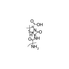 CCC(C)(N)C(=O)N[C@@H]1C(=O)N2[C@@H]1SC(C)(C)[C@@H]2C(=O)O